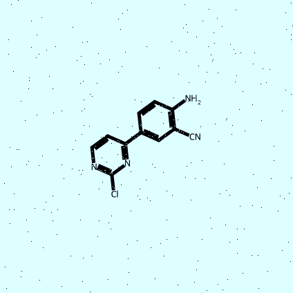 N#Cc1cc(-c2ccnc(Cl)n2)ccc1N